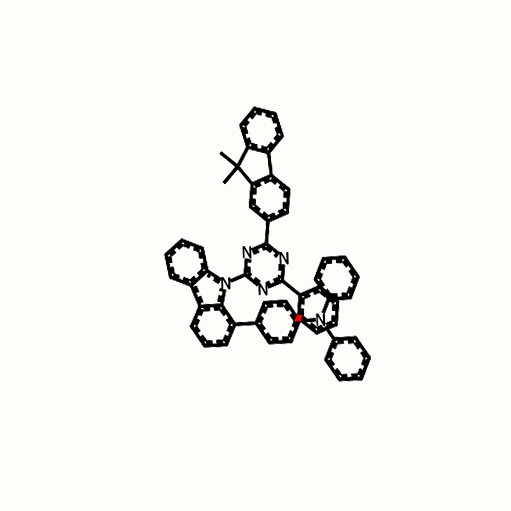 CC1(C)c2ccccc2-c2ccc(-c3nc(-c4ccccc4)nc(-n4c5ccccc5c5cccc(-c6ccc(N(c7ccccc7)c7ccccc7)cc6)c54)n3)cc21